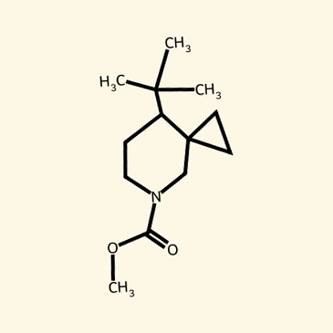 COC(=O)N1CCC(C(C)(C)C)C2(CC2)C1